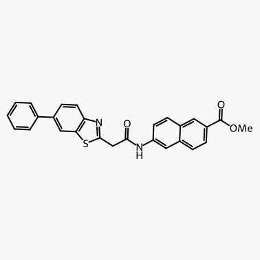 COC(=O)c1ccc2cc(NC(=O)Cc3nc4ccc(-c5ccccc5)cc4s3)ccc2c1